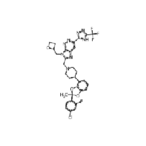 CC1(c2ccc(Cl)cc2F)Oc2cccc(C3CCN(Cc4nc5cc(-c6nnc(C(F)(F)F)[nH]6)nnc5n4CC4CCO4)CC3)c2O1